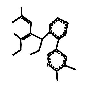 CC/C(C)=C(/C=C(C)C)C(CC)c1ccccc1-c1cnc(C)c(C)c1